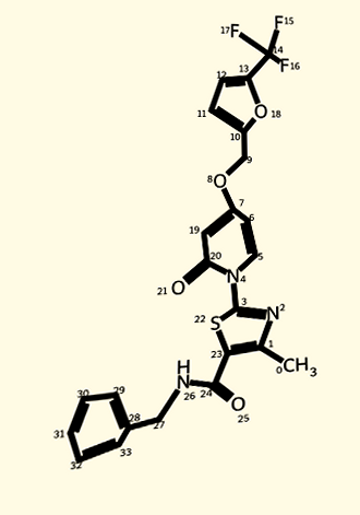 Cc1nc(-n2ccc(OCc3ccc(C(F)(F)F)o3)cc2=O)sc1C(=O)NCc1ccccc1